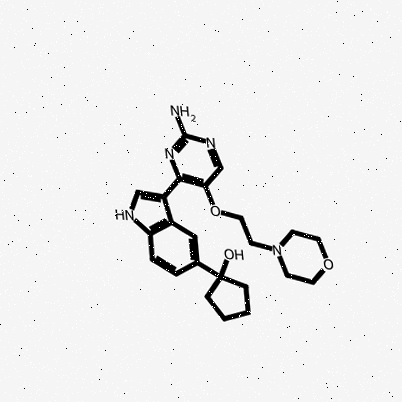 Nc1ncc(OCCN2CCOCC2)c(-c2c[nH]c3ccc(C4(O)CCCC4)cc23)n1